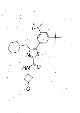 CC(C)(C)c1cc(-c2sc(C(=O)NC3CC(=O)C3)nc2CC2CCCCC2)cc(C2(C)CC2)c1